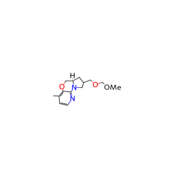 COCOCC1C[C@@H]2COc3c(C)ccnc3N2C1